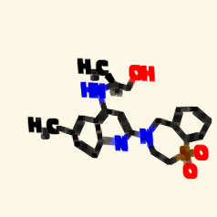 Cc1ccc2nc(N3CCS(=O)(=O)c4ccccc4C3)cc(N[C@@H](C)CO)c2c1